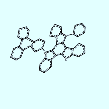 c1ccc(-n2c3ccccc3c3c4c(c5ccccc5n4-c4ccc5c6ccccc6c6ccccc6c5c4)c4oc5ccccc5c4c32)cc1